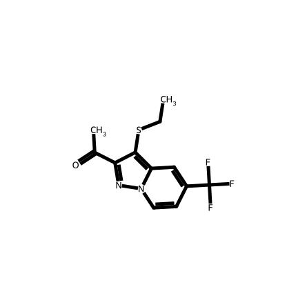 CCSc1c(C(C)=O)nn2ccc(C(F)(F)F)cc12